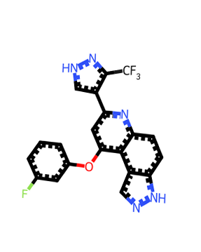 Fc1cccc(Oc2cc(-c3c[nH]nc3C(F)(F)F)nc3ccc4[nH]ncc4c23)c1